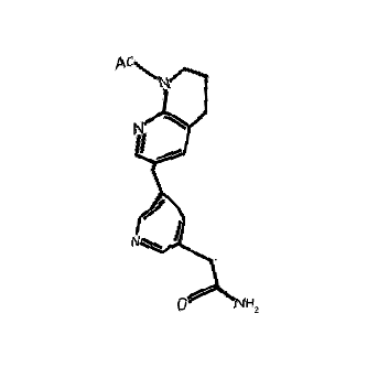 CC(=O)N1CCCc2cc(-c3cncc([CH]C(N)=O)c3)cnc21